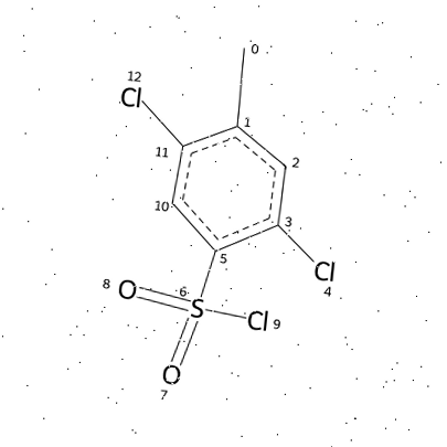 Cc1cc(Cl)c(S(=O)(=O)Cl)cc1Cl